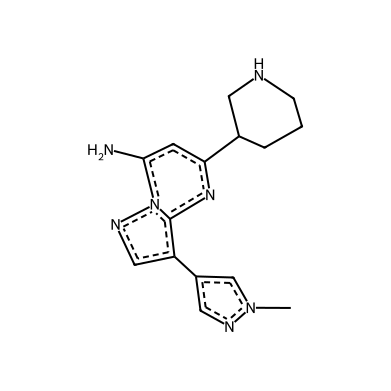 Cn1cc(-c2cnn3c(N)cc(C4CCCNC4)nc23)cn1